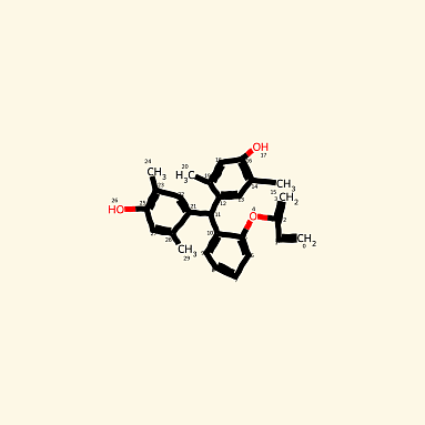 C=CC(=C)Oc1ccccc1C(c1cc(C)c(O)cc1C)c1cc(C)c(O)cc1C